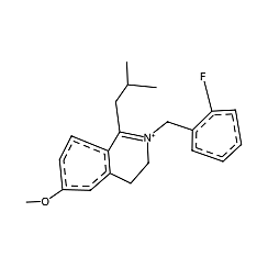 COc1ccc2c(c1)CC[N+](Cc1ccccc1F)=C2CC(C)C